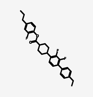 CCCc1ccc(OC(=O)C2CCC(c3ccc(-c4ccc(CC)cc4)c(F)c3F)CC2)c(F)c1